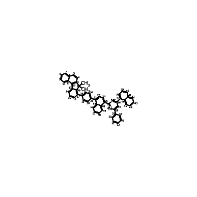 CC1(C)c2ccc3ccccc3c2-c2cccc(-c3ccc(-c4ccc(-c5nc(-c6ccccc6)cc(-c6cccc7ccccc67)n5)c5ccccc45)cc3)c21